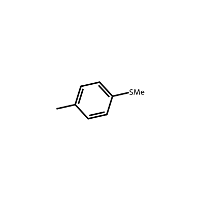 [CH2]Sc1ccc(C)cc1